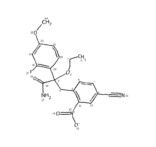 CCOC(Cc1ccc(C#N)cc1[N+](=O)[O-])(C(N)=O)c1ccc(OC)cc1F